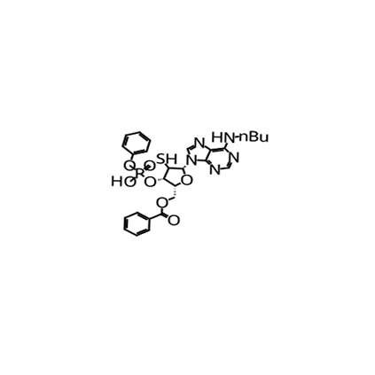 CCCCNc1ncnc2c1ncn2[C@@H]1O[C@H](COC(=O)c2ccccc2)[C@H](OP(=O)(O)Oc2ccccc2)C1S